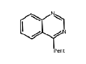 CCCC(C)c1ncnc2ccccc12